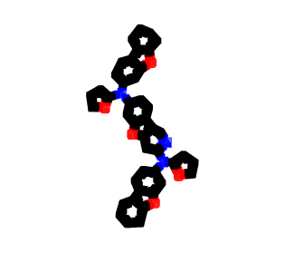 c1coc(N(c2ccc3c(c2)oc2ccccc23)c2ccc3c(c2)oc2cc(N(c4ccc5c(c4)oc4ccccc45)c4ccco4)ncc23)c1